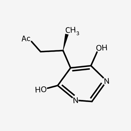 CC(=O)C[C@@H](C)c1c(O)ncnc1O